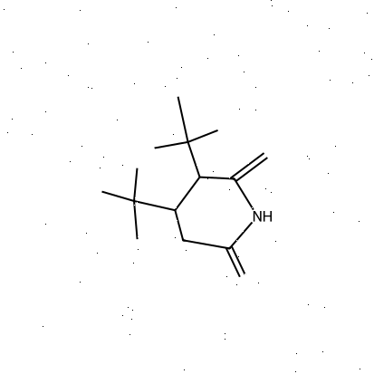 C=C1CC(C(C)(C)C)C(C(C)(C)C)C(=C)N1